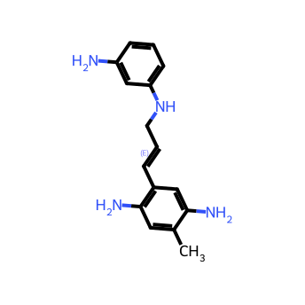 Cc1cc(N)c(/C=C/CNc2cccc(N)c2)cc1N